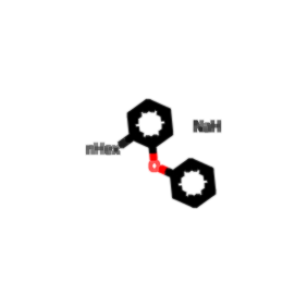 CCCCCCc1ccccc1Oc1ccccc1.[NaH]